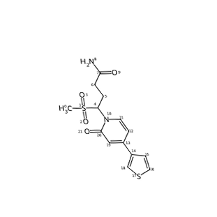 CS(=O)(=O)C(CCC(N)=O)n1ccc(-c2ccsc2)cc1=O